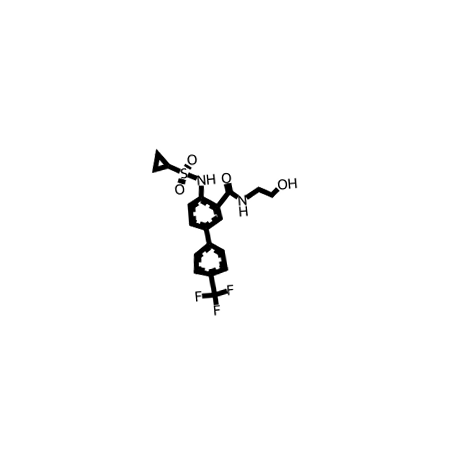 O=C(NCCO)c1cc(-c2ccc(C(F)(F)F)cc2)ccc1NS(=O)(=O)C1CC1